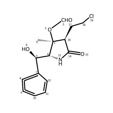 C[C@@]1(OC=O)[C@@H]([C@H](O)C2=C=C=CC=C2)NC(=O)[C@@H]1CCCl